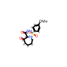 COc1ccc(S(=O)(=O)N2CCC[CH]C(=O)C2C(N)=O)cc1